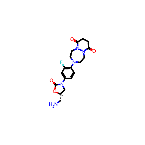 NC[C@H]1CN(c2ccc(N3CCN4C(=O)CCC(=O)N4CC3)c(F)c2)C(=O)O1